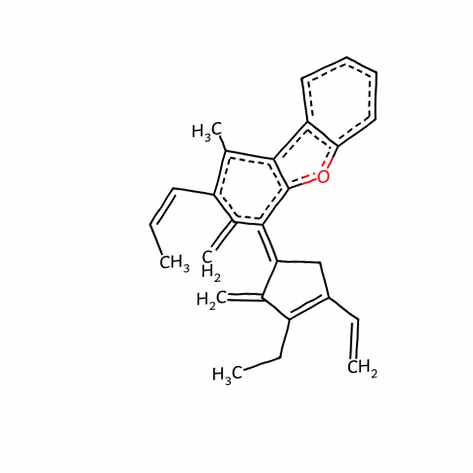 C=CC1=C(CC)C(=C)/C(=c2\c(=C)c(/C=C\C)c(C)c3c2oc2ccccc23)C1